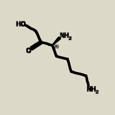 NCCCC[C@H](N)C(=O)CO